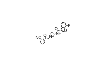 N#CC1CCCN1C(=O)CN1CC[C@H](NC(=O)c2coc3c(F)cccc23)C1